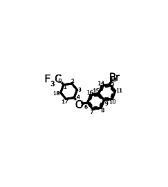 FC(F)(F)C1CCC(Oc2ccc3ccc(Br)cc3c2)CC1